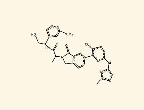 COc1cc(C(CO)NC(=O)C(C)N2Cc3ccc(-c4nc(Nc5cnn(C)n5)ncc4Cl)cc3C2=O)ccn1